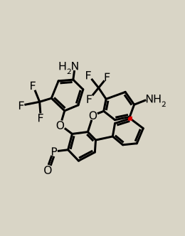 Nc1ccc(Oc2c(P=O)ccc(-c3ccccc3)c2Oc2ccc(N)cc2C(F)(F)F)c(C(F)(F)F)c1